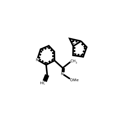 C#Cc1ncccc1C(C)=NOC.c1cc2cc-2c1